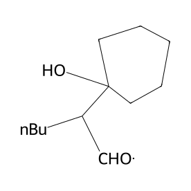 CCCCC([C]=O)C1(O)CCCCC1